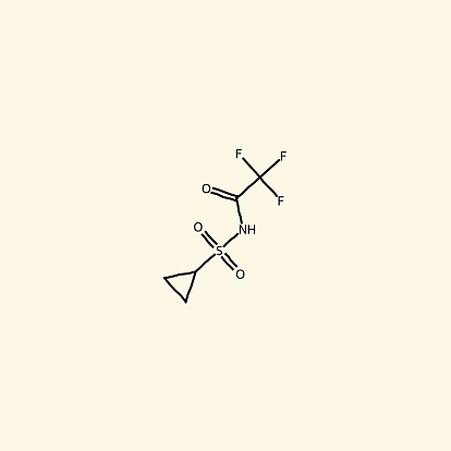 O=C(NS(=O)(=O)C1CC1)C(F)(F)F